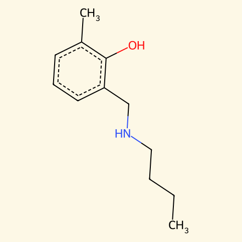 CCCCNCc1cccc(C)c1O